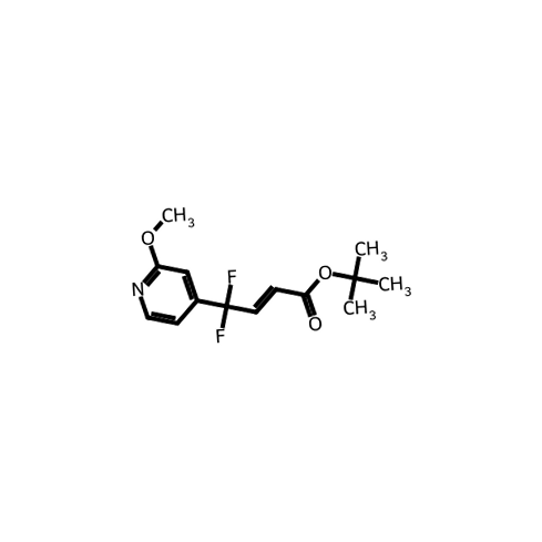 COc1cc(C(F)(F)/C=C/C(=O)OC(C)(C)C)ccn1